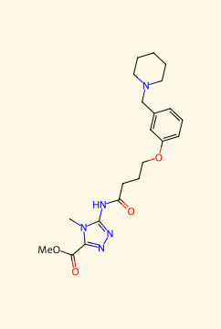 COC(=O)c1nnc(NC(=O)CCCOc2cccc(CN3CCCCC3)c2)n1C